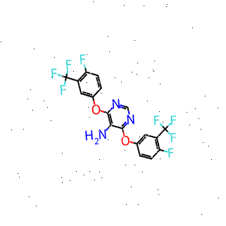 Nc1c(Oc2ccc(F)c(C(F)(F)F)c2)ncnc1Oc1ccc(F)c(C(F)(F)F)c1